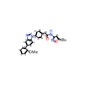 COc1ccccc1-c1ccc2c(c1)ncn2-c1ccc(CC(=O)Nc2cc(C(C)(C)C)on2)cc1